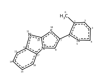 Cc1cccnc1-c1cn2c(nc3ccccc32)s1